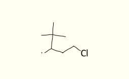 [CH2]C(CCCl)C(C)(C)C